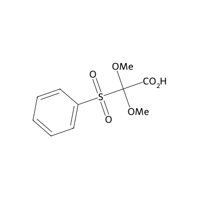 COC(OC)(C(=O)O)S(=O)(=O)c1ccccc1